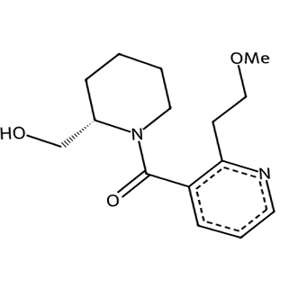 COCCc1ncccc1C(=O)N1CCCC[C@H]1CO